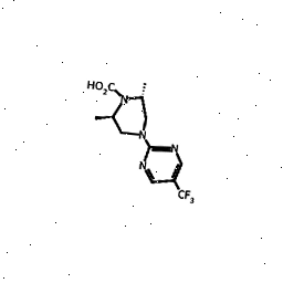 C[C@@H]1CN(c2ncc(C(F)(F)F)cn2)C[C@@H](C)N1C(=O)O